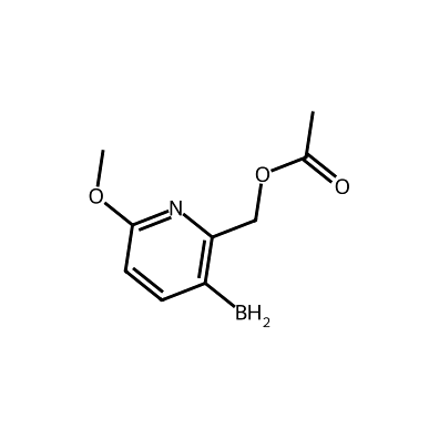 Bc1ccc(OC)nc1COC(C)=O